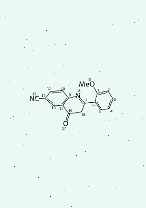 COc1ccccc1C1=Nc2ccc(C#N)cc2C(=O)C1